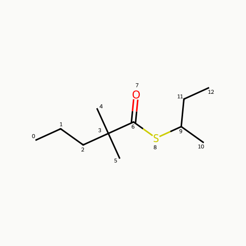 CCCC(C)(C)C(=O)SC(C)CC